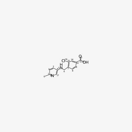 Cc1ccc(NCc2ccc(C(=O)O)cc2Cl)cn1